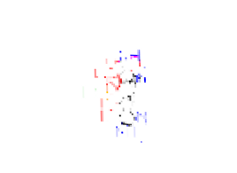 CN(C)c1cc(N)c(O)c2c1C[C@H]1C[C@H]3[C@H](N(C)C)C(=O)C(C(N)=O)=C(O)[C@@]3(O)C(=O)C1=C2O.Cl